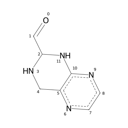 O=CC1NCc2nccnc2N1